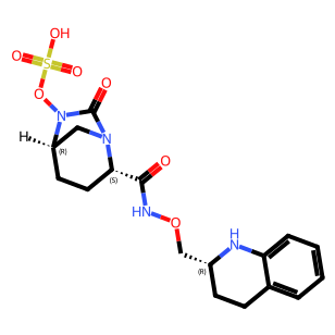 O=C(NOC[C@H]1CCc2ccccc2N1)[C@@H]1CC[C@@H]2CN1C(=O)N2OS(=O)(=O)O